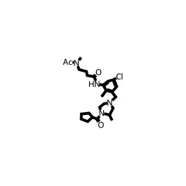 CC(=O)N(C)CCCC(=O)Nc1cc(Cl)cc(CN2CCN(C(=O)C3CCCC3)C(C)C2)c1C